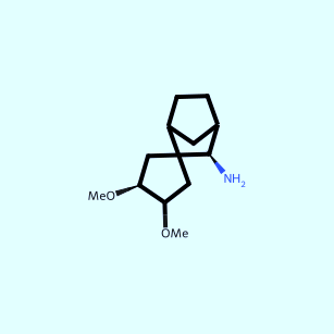 COC1CC2(C[C@@H]1OC)C1CCC(C1)[C@H]2N